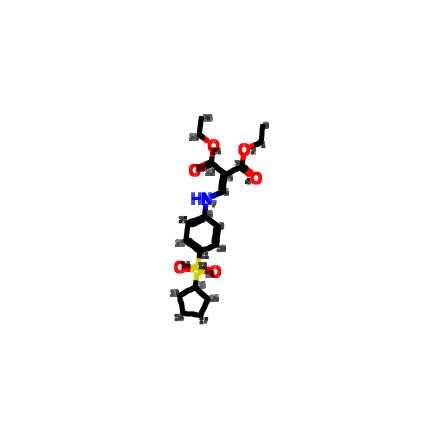 CCOC(=O)C(=CNc1ccc(S(=O)(=O)C2CCCC2)cc1)C(=O)OCC